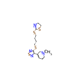 CN1CCC=C(c2nsnc2SCCCCSC2=NCCS2)C1